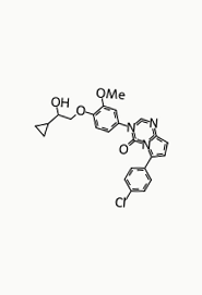 COc1cc(-n2cnc3ccc(-c4ccc(Cl)cc4)n3c2=O)ccc1OCC(O)C1CC1